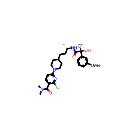 COc1cccc([C@@](O)(C(=O)N[C@@H](C)CCC2CCN(c3ccc(C(=O)N(C)C)c(Cl)n3)CC2)C(F)(F)F)c1